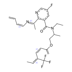 C=C/C=C\N=C(/C)c1ncc(F)cc1C(=O)N(CC)C(C)COC(=C)/C=C\C(=C/C)C(F)(F)F